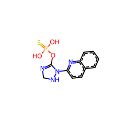 OP(O)(=S)OC1=NCNN1c1ccc2ccccc2n1